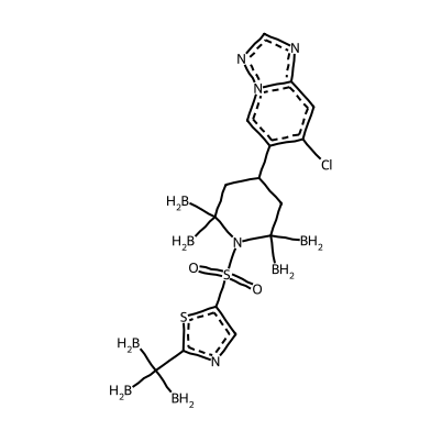 BC(B)(B)c1ncc(S(=O)(=O)N2C(B)(B)CC(c3cn4ncnc4cc3Cl)CC2(B)B)s1